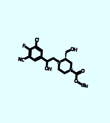 CC(C)(C)OC(=O)N1CCN(CC(O)c2cc(Cl)c(F)c(C#N)c2)[C@H](CO)C1